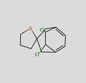 ClC1C2=CC=C(CC3(CCCS3)C2)C1Cl